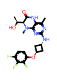 Cc1nc(N[C@H]2C[C@H](Oc3ccc(F)c(F)c3F)C2)nc2c1NC(=O)[C@H]([C@H](C)O)N2C